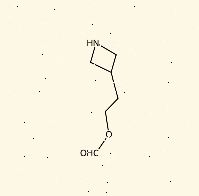 O=COCCC1CNC1